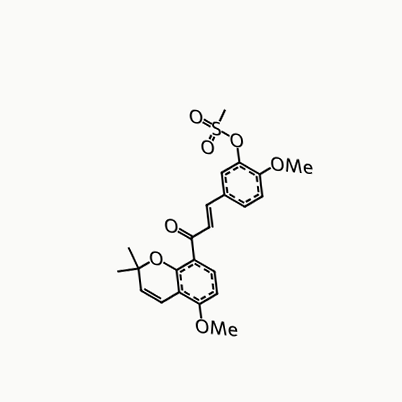 COc1ccc(C=CC(=O)c2ccc(OC)c3c2OC(C)(C)C=C3)cc1OS(C)(=O)=O